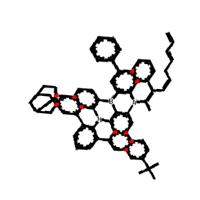 C=CC=CC/C=C\C(=C(/C)N1c2ccc(-c3ccccc3)cc2B2c3ccc(N4C5CC6CC(C5)CC4C6)cc3N(c3c(-c4ccccc4)cccc3-c3ccccc3)c3cc(-c4ccc(C(C)(C)C)cc4)cc1c32)c1ccccc1